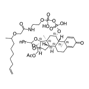 C=CCCCCCC(C)OCC(=O)NCCOP(=O)(O)OP(=O)(O)O[C@H]1C[C@@]2(C)[C@@H](C[C@H]3OC(CCC)O[C@]32C(=O)COC(C)=O)[C@@H]2CCC3=CC(=O)C=C[C@]3(C)[C@H]21